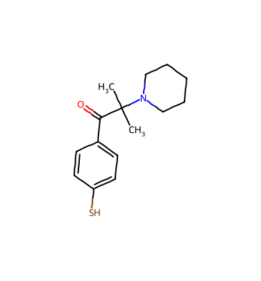 CC(C)(C(=O)c1ccc(S)cc1)N1CCCCC1